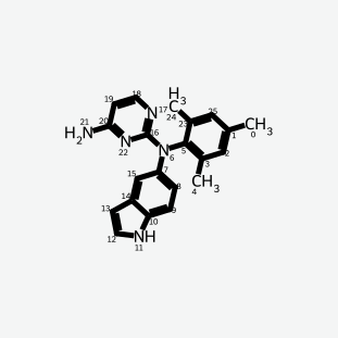 Cc1cc(C)c(N(c2ccc3[nH]ccc3c2)c2nccc(N)n2)c(C)c1